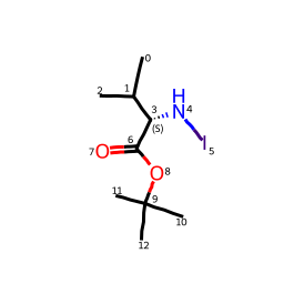 CC(C)[C@H](NI)C(=O)OC(C)(C)C